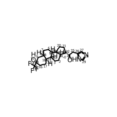 C[C@]12CC[C@H]3[C@@H](CC[C@H]4C[C@@](O)(C(F)(F)F)CC[C@@H]43)[C@@H]1CC[C@@H]2C(=O)Cc1cnc[nH]1